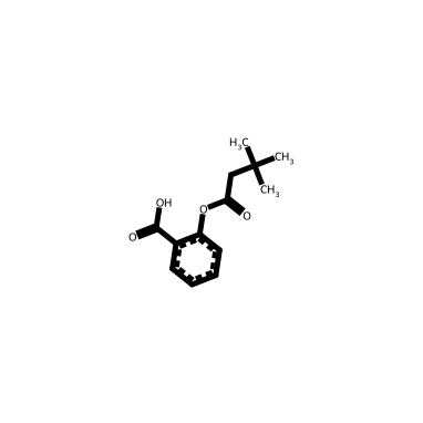 CC(C)(C)CC(=O)Oc1ccccc1C(=O)O